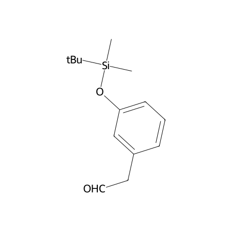 CC(C)(C)[Si](C)(C)Oc1cccc(CC=O)c1